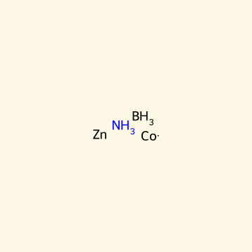 B.N.[Co].[Zn]